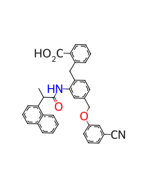 CC(C(=O)Nc1cc(COc2cccc(C#N)c2)ccc1Cc1ccccc1C(=O)O)c1cccc2ccccc12